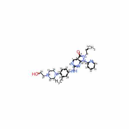 C=CCn1c(=O)c2cnc(Nc3ccc(N4CCN(CCO)CC4)c(C)c3)nc2n1-c1ccccn1